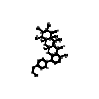 CC/C=C\c1ccc(-c2ccc(O)c3c2C[C@]2(C)C[C@]4(C)C(C(C)C)C(O)=C(C(C)=O)C(=O)[C@]4(O)C(O)=C2C3=O)cc1